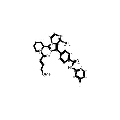 COCC=CC(=O)N1CCCC[C@H]1c1nc(-c2ccc(C(=O)Nc3cc(F)ccn3)cc2)c2c(N)nccn12